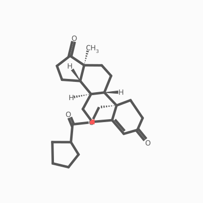 C[C@]12CC[C@H]3[C@@H](CCC4=CC(=O)CC[C@@]43COC(=O)C3CCCC3)[C@@H]1CCC2=O